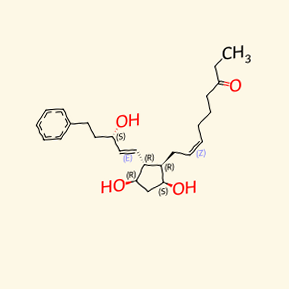 CCC(=O)CCC/C=C\C[C@@H]1[C@@H](/C=C/[C@@H](O)CCc2ccccc2)[C@H](O)C[C@@H]1O